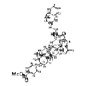 C=C(C)[C@@H]1CC[C@]2(C(=O)NCCN(CC(C)=O)Cc3ccccc3)CC[C@]3(C)[C@H](CC[C@@H]4[C@@]5(C)CC=C(c6ccc(C(=O)OC)cc6)C(C)(C)[C@@H]5CC[C@]43C)[C@@H]12